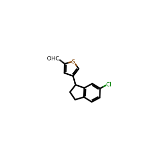 O=Cc1cc(C2CCc3ccc(Cl)cc32)cs1